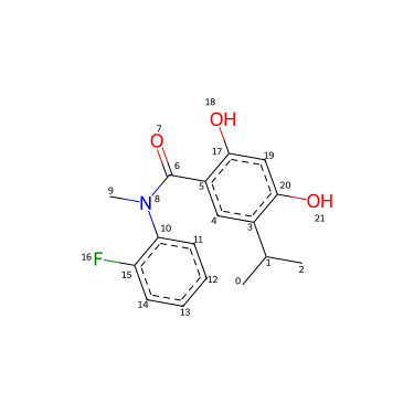 CC(C)c1cc(C(=O)N(C)c2ccccc2F)c(O)cc1O